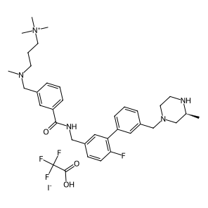 C[C@H]1CN(Cc2cccc(-c3cc(CNC(=O)c4cccc(CN(C)CCC[N+](C)(C)C)c4)ccc3F)c2)CCN1.O=C(O)C(F)(F)F.[I-]